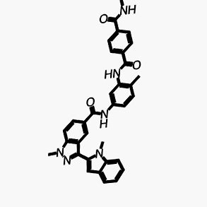 CNC(=O)c1ccc(C(=O)Nc2cc(NC(=O)c3ccc4c(c3)c(-c3cc5ccccc5n3C)nn4C)ccc2C)cc1